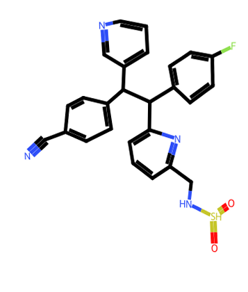 N#Cc1ccc(C(c2cccnc2)C(c2ccc(F)cc2)c2cccc(CN[SH](=O)=O)n2)cc1